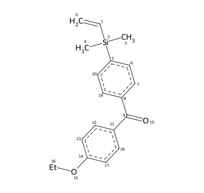 C=C[Si](C)(C)c1ccc(C(=O)c2ccc(OCC)cc2)cc1